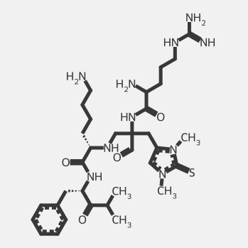 CC(C)C(=O)[C@H](Cc1ccccc1)NC(=O)[C@H](CCCCN)NCC(C=O)(Cc1cn(C)c(=S)n1C)NC(=O)C(N)CCCNC(=N)N